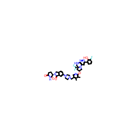 Cc1c(CN2CCN(c3ccc4c(c3)C(=O)N([C@H]3CCC(=O)NC3=O)C4)CC2)cnc(O[C@H]2CN3c4cc(-c5cccc(F)c5O)nnc4NC[C@@]3(C(F)F)C2)c1C